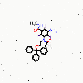 CNC(=O)c1c(I)c(N)c(I)c(N(CCOC(c2ccccc2)(c2ccccc2)c2ccccc2)C(C)=O)c1I